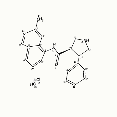 Cc1cc2c(NC(=O)[C@H]3CNC[C@@H]3c3ccccc3)cccc2cn1.Cl.Cl